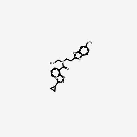 CCN(CCc1nc2ccc(C)cc2[nH]1)C(=O)c1cccn2c(C3CC3)nnc12